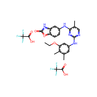 CCOc1cc(Nc2ncc(C)c(Nc3ccc4oc(=O)[nH]c4c3)n2)cc(C)c1C.O=C(O)C(F)(F)F.O=C(O)C(F)(F)F